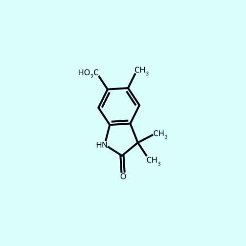 Cc1cc2c(cc1C(=O)O)NC(=O)C2(C)C